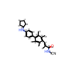 C/C(=C\c1c(C)c(C)c(-c2ccc(NC3CCCC3)cc2)c(C)c1C)C(=O)NC#N